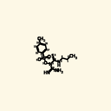 CCCNC(=S)N(OS(=O)(=O)c1ccc(C)cc1)C(=N)N